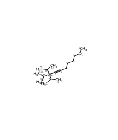 COCCCCC#C[Si](C(C)C)(C(C)C)C(C)C